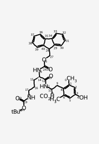 Cc1cc(O)cc(C)c1C[C@H](NC(=O)[C@@H](CCCNC(=O)OC(C)(C)C)NC(=O)OCC1c2ccccc2-c2ccccc21)C(=O)O